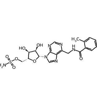 Cc1ccccc1C(=O)NCc1ncnc2c1ncn2[C@@H]1O[C@H](COS(N)(=O)=O)[C@@H](O)[C@H]1O